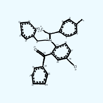 Cc1ccc(C(C(=O)O)N(Cc2ccccc2)c2ccc(Cl)cc2C(=O)c2ccccc2)cc1